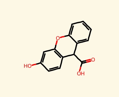 O=C(O)C1c2ccccc2Oc2cc(O)ccc21